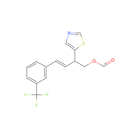 O=COCC(/C=C/c1cccc(C(F)(F)F)c1)c1cncs1